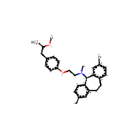 CCOC(Cc1ccc(OCCN(C)C2c3ccc(C)cc3CCc3ccc(CC)cc32)cc1)C(=O)O